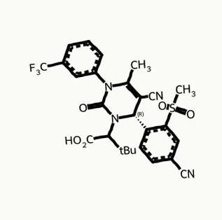 CC1=C(C#N)[C@H](c2ccc(C#N)cc2S(C)(=O)=O)N(C(C(=O)O)C(C)(C)C)C(=O)N1c1cccc(C(F)(F)F)c1